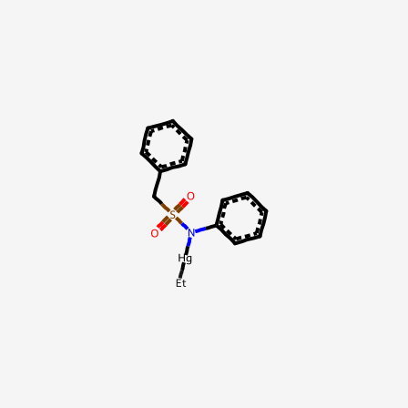 C[CH2][Hg][N](c1ccccc1)S(=O)(=O)Cc1ccccc1